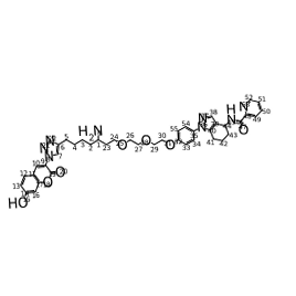 NC(CCCCc1cn(-c2cc3ccc(O)cc3oc2=O)nn1)CCOCCOCCOc1ccc(-n2ncc3c2CCCC3NC(=O)c2ccccn2)cc1